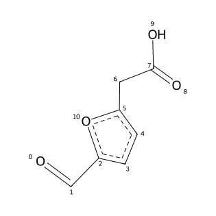 O=Cc1ccc(CC(=O)O)o1